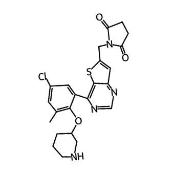 Cc1cc(Cl)cc(-c2ncnc3cc(CN4C(=O)CCC4=O)sc23)c1OC1CCCNC1